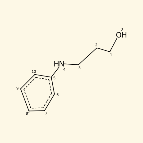 OCCCNc1cc[c]cc1